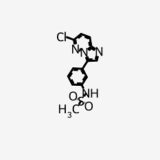 CS(=O)(=O)Nc1cccc(-c2cnc3ccc(Cl)nn23)c1